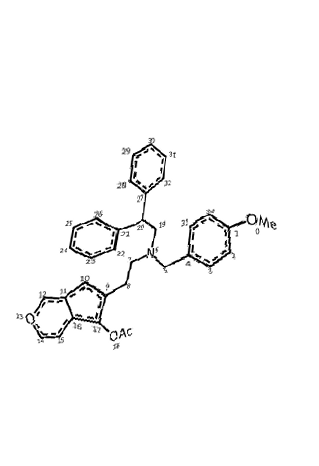 COc1ccc(CN(CCc2cc3coccc-3c2OC(C)=O)CC(c2ccccc2)c2ccccc2)cc1